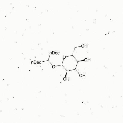 CCCCCCCCCCC(CCCCCCCCCC)OC1O[C@H](CO)[C@@H](O)[C@H](O)[C@H]1O